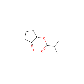 CC(C)C(=O)OC1CCCC1=O